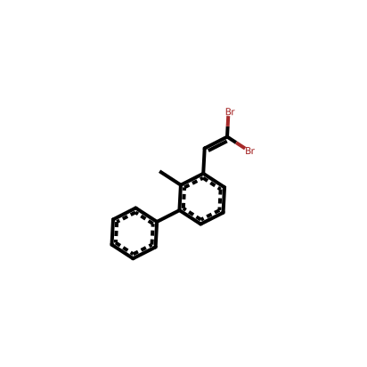 Cc1c(C=C(Br)Br)cccc1-c1ccccc1